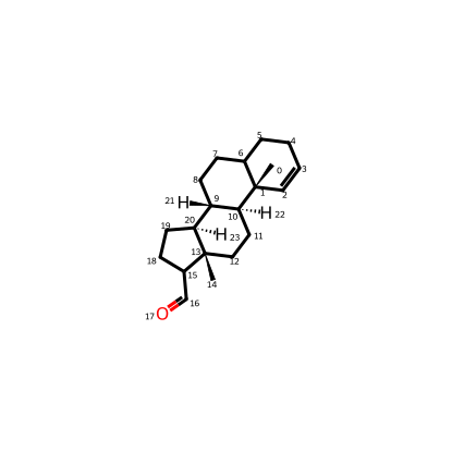 C[C@]12C=CCCC1CC[C@@H]1[C@@H]2CC[C@]2(C)C(C=O)CC[C@@H]12